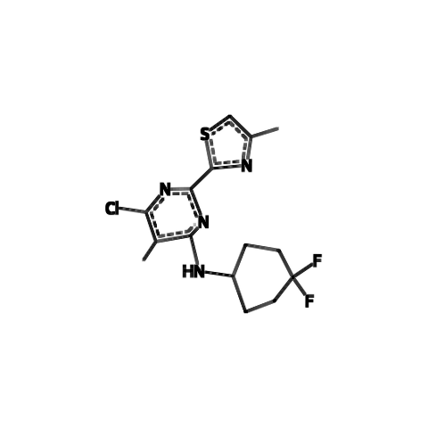 Cc1csc(-c2nc(Cl)c(C)c(NC3CCC(F)(F)CC3)n2)n1